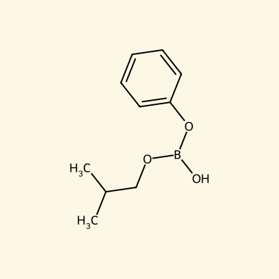 CC(C)COB(O)Oc1ccccc1